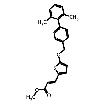 COC(=O)C=Cc1ccc(OCc2ccc(-c3c(C)cccc3C)cc2)s1